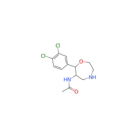 CC(=O)NC1CNCCOC1c1ccc(Cl)c(Cl)c1